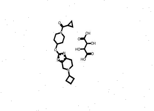 O=C(C1CC1)N1CCC(Oc2nc3c(s2)CN(C2CCC2)CC3)CC1.O=C(O)C(O)C(O)C(=O)O